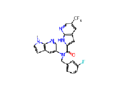 Cn1ccc2cc(N(Cc3cccc(F)c3)C(=O)c3cc4cc(C(F)(F)F)cnc4[nH]3)cnc21